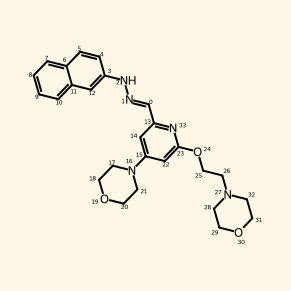 C(=NNc1ccc2ccccc2c1)c1cc(N2CCOCC2)cc(OCCN2CCOCC2)n1